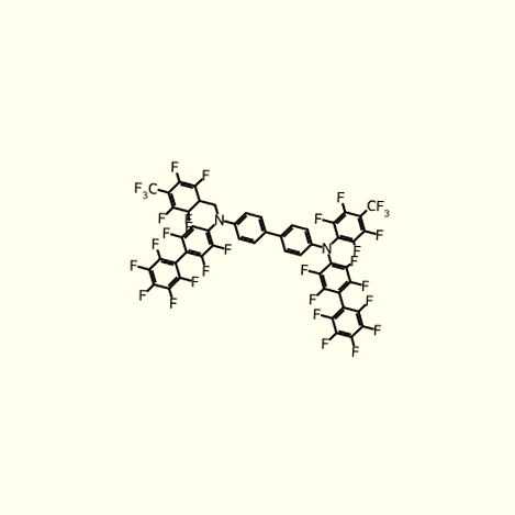 FC1=C(F)C(CN(c2ccc(-c3ccc(N(c4c(F)c(F)c(-c5c(F)c(F)c(F)c(F)c5F)c(F)c4F)c4c(F)c(F)c(C(F)(F)F)c(F)c4F)cc3)cc2)c2c(F)c(F)c(-c3c(F)c(F)c(F)c(F)c3F)c(F)c2F)C(F)C(F)=C1C(F)(F)F